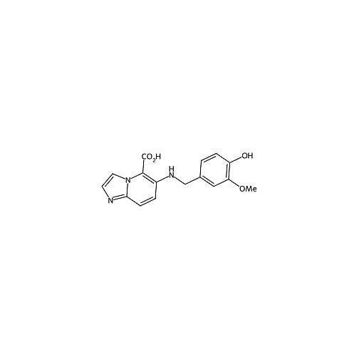 COc1cc(CNc2ccc3nccn3c2C(=O)O)ccc1O